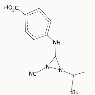 CC(N1C(Nc2ccc(C(=O)O)cc2)N1C#N)C(C)(C)C